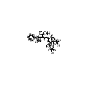 CC[C@H](CC=C(C(=O)O)c1cn(-c2ccccn2)cn1)CN(C(=O)OC(C)(C)C)C(=O)OC(C)(C)C